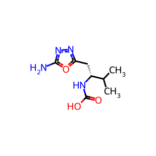 CC(C)[C@@H](Cc1nnc(N)o1)NC(=O)O